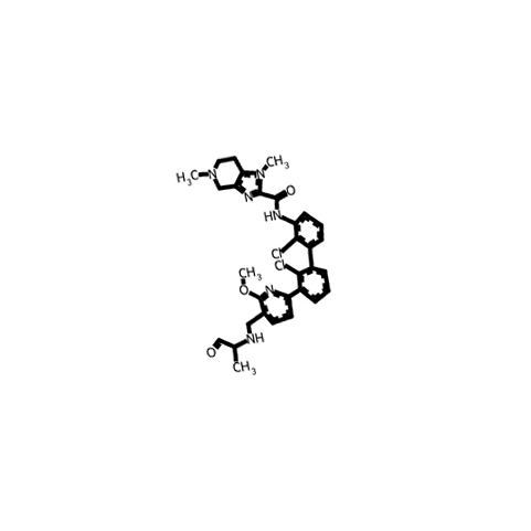 COc1nc(-c2cccc(-c3cccc(NC(=O)c4nc5c(n4C)CCN(C)C5)c3Cl)c2Cl)ccc1CNC(C)C=O